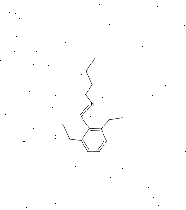 CCCCN=Cc1c(CC)cccc1CC